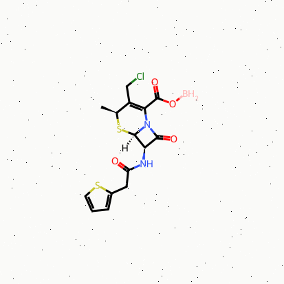 BOC(=O)C1=C(CCl)[C@H](C)S[C@@H]2[C@H](NC(=O)Cc3cccs3)C(=O)N12